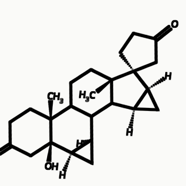 C[C@]12CCC3C(C1[C@@H]1C[C@@H]1[C@@]21CCC(=O)C1)[C@H]1C[C@H]1[C@]1(O)CC(=O)CC[C@]31C